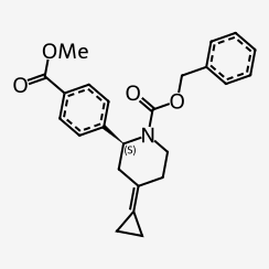 COC(=O)c1ccc([C@@H]2CC(=C3CC3)CCN2C(=O)OCc2ccccc2)cc1